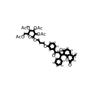 CC(=O)OCC1OC(OCCCOc2cccc(C(=O)c3oc4ccc5c(C)cc(=O)oc5c4c3-c3ccccc3)c2)C(OC(C)=O)C(OC(C)=O)C1OC(C)=O